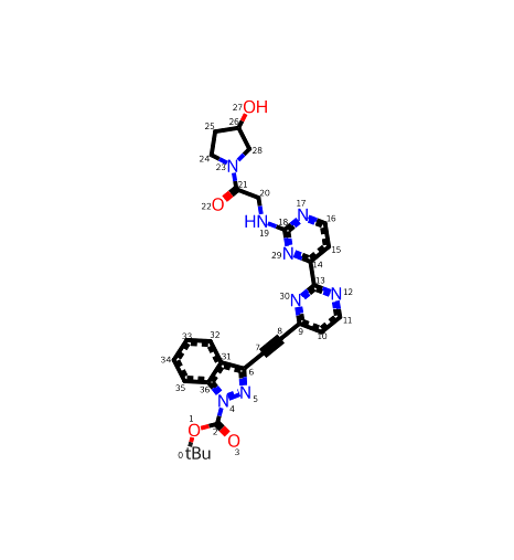 CC(C)(C)OC(=O)n1nc(C#Cc2ccnc(-c3ccnc(NCC(=O)N4CCC(O)C4)n3)n2)c2ccccc21